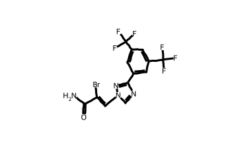 NC(=O)C(Br)=Cn1cnc(-c2cc(C(F)(F)F)cc(C(F)(F)F)c2)n1